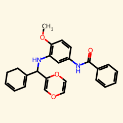 COc1ccc(NC(=O)c2ccccc2)cc1NC(C1=CC=CCC1)C1=COC=CO1